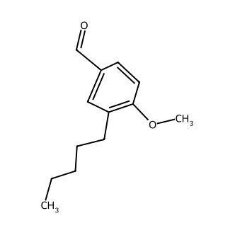 CCCCCc1cc(C=O)ccc1OC